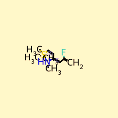 C=C(F)/C=C(\C=C/S(C)(C)C)NC